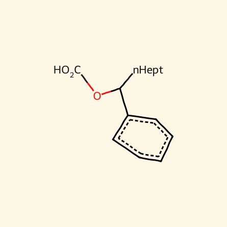 CCCCCCCC(OC(=O)O)c1ccccc1